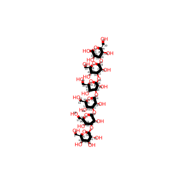 OC[C@H]1O[C@@H](O[C@@H]2[C@@H](O)[C@H](O[C@@H]3[C@@H](O)[C@H](O[C@@H]4[C@@H](O)[C@H](O[C@@H]5[C@@H](O)[C@H](O[C@H]6[C@H](O)[C@@H](CO)OC(O)[C@@H]6O)O[C@H](CO)[C@H]5O)O[C@H](CO)[C@H]4O)O[C@H](CO)[C@H]3O)O[C@H](CO)[C@H]2O)[C@H](O)[C@@H](O)[C@@H]1O